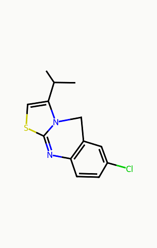 CC(C)C1=CSC2=Nc3ccc(Cl)cc3CN12